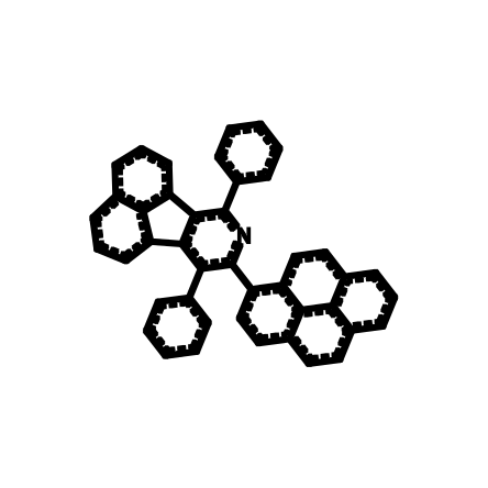 c1ccc(-c2nc(-c3ccc4ccc5cccc6ccc3c4c56)c(-c3ccccc3)c3c2-c2cccc4cccc-3c24)cc1